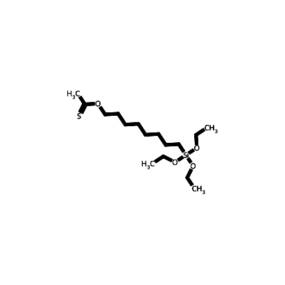 CCO[Si](CCCCCCCCOC(C)=S)(OCC)OCC